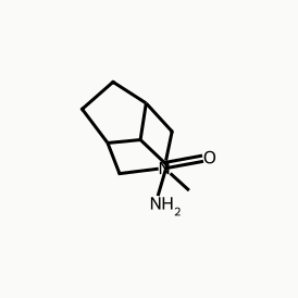 CN1CC2CCC(C1)C2C(N)=O